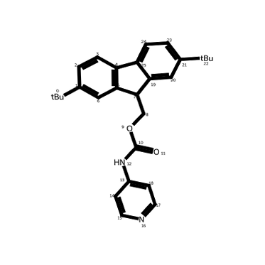 CC(C)(C)c1ccc2c(c1)C(COC(=O)Nc1ccncc1)c1cc(C(C)(C)C)ccc1-2